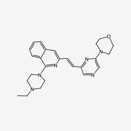 CCN1CCN(c2nc(/C=C/c3cncc(N4CCOCC4)n3)cc3ccccc23)CC1